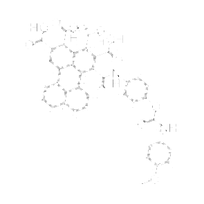 COc1ccc(NC(=O)Oc2ccc(NC(=O)c3c(C(=O)O)c(C(=O)O)c4c(C(=O)O)c(C(=O)O)cc5c6cccc7cccc(c3c45)c76)cc2)cc1